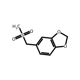 CS(=O)(=O)Cc1ccc2c(c1)OCO2